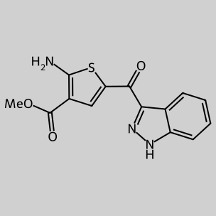 COC(=O)c1cc(C(=O)c2n[nH]c3ccccc23)sc1N